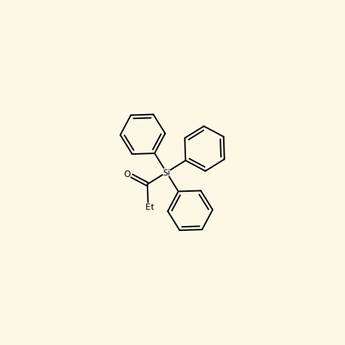 CCC(=O)[Si](c1ccccc1)(c1ccccc1)c1ccccc1